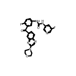 O=C(Nc1cncc(F)c1)Nc1ccc(F)c(C(=O)c2ccc3ncc(N4CCOCC4)nc3c2)c1